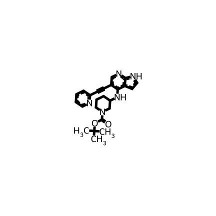 CC(C)(C)OC(=O)N1CCCC(Nc2c(C#Cc3ccccn3)cnc3[nH]ccc23)C1